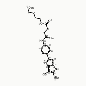 CCCCCCCCCCCCCCOC(=O)CCC(=O)Nc1ccc(-c2nn3nc(C(C)(C)C)c(Cl)c3[nH]2)cc1